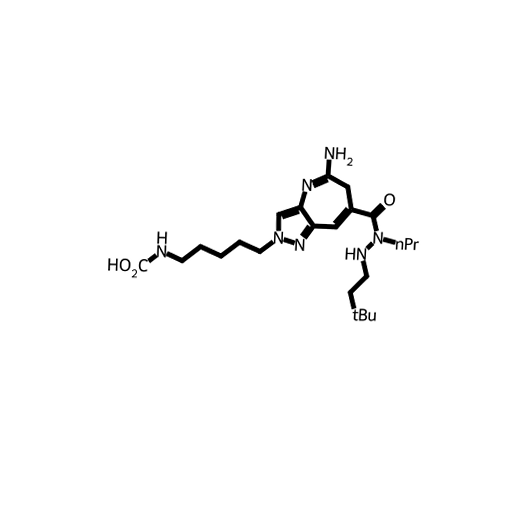 CCCN(NCCC(C)(C)C)C(=O)C1=Cc2nn(CCCCCNC(=O)O)cc2N=C(N)C1